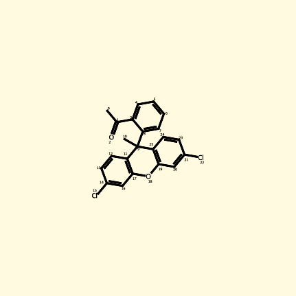 CC(=O)c1ccccc1C1(C)c2ccc(Cl)cc2Oc2cc(Cl)ccc21